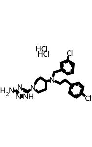 Cl.Cl.Nc1n[nH]c(N2CCC(N(CCc3ccc(Cl)cc3)Cc3cccc(Cl)c3)CC2)n1